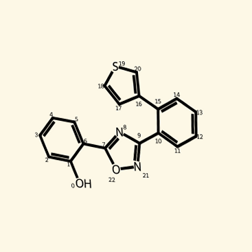 Oc1ccccc1-c1nc(-c2ccccc2-c2ccsc2)no1